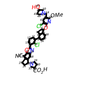 COc1nc(O[C@H]2CCc3c(-c4cccc(-c5nc6cc7c(c(C#N)c6o5)CC[C@H]7N5CC[C@@H](C(=O)O)C5)c4Cl)cccc32)c(Cl)cc1CN1CC[C@@H](O)C1